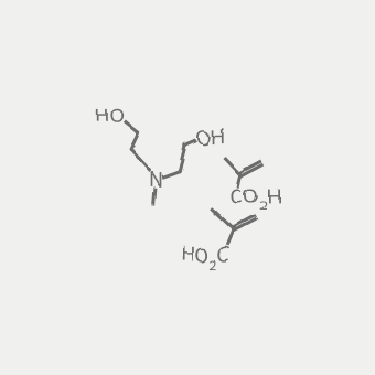 C=C(C)C(=O)O.C=C(C)C(=O)O.CN(CCO)CCO